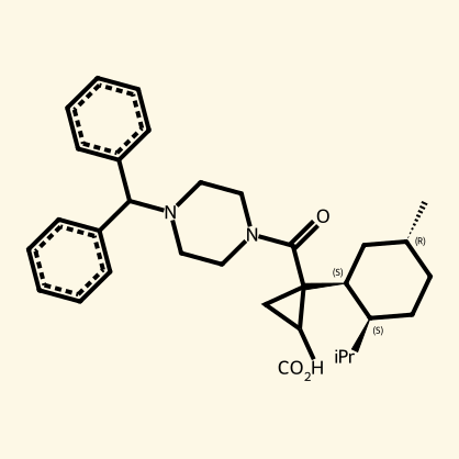 CC(C)[C@@H]1CC[C@@H](C)C[C@@H]1C1(C(=O)N2CCN(C(c3ccccc3)c3ccccc3)CC2)CC1C(=O)O